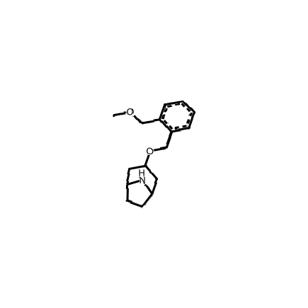 COCc1ccccc1COC1CC2CCC(C1)N2